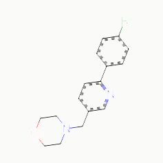 Brc1ccc(-c2ccc(CN3CCOCC3)cn2)cc1